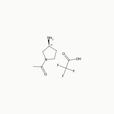 CC(=O)N1CC[C@H](N)C1.O=C(O)C(F)(F)F